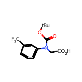 CC(C)(C)OC(=O)N(CC(=O)O)c1cccc(C(F)(F)F)c1